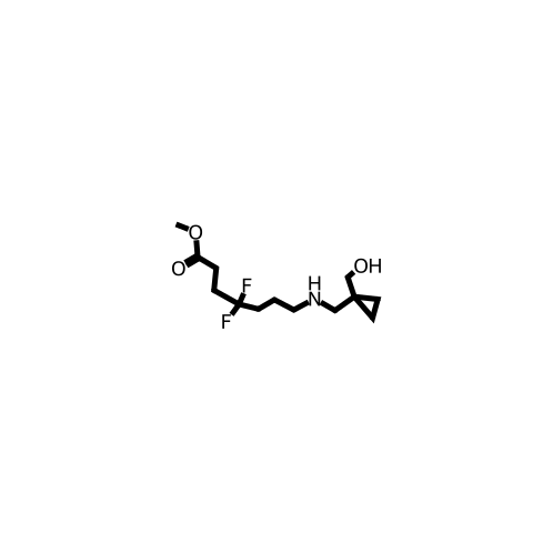 COC(=O)CCC(F)(F)CCCNCC1(CO)CC1